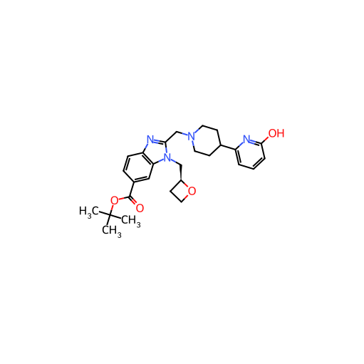 CC(C)(C)OC(=O)c1ccc2nc(CN3CCC(c4cccc(O)n4)CC3)n(C[C@@H]3CCO3)c2c1